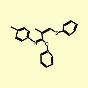 CC(=CSc1ccccc1)C(=Nc1ccc(C)cc1)Oc1ccccc1